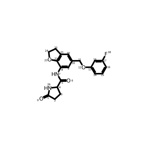 O=C1CCC(C(=O)Nc2cc(COc3cccc(F)c3)cc3c2OCC3)N1